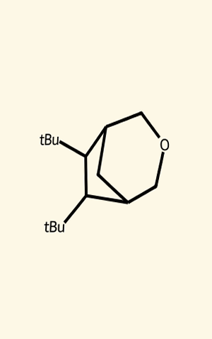 CC(C)(C)C1C2COCC(C2)C1C(C)(C)C